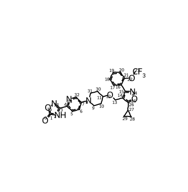 O=c1[nH]c(-c2ccc(N3CCC(OCc4c(-c5ccccc5OC(F)(F)F)noc4C4CC4)CC3)cn2)no1